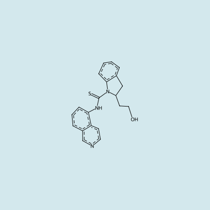 OCCC1Cc2ccccc2N1C(=S)Nc1cccc2cnccc12